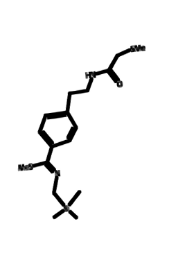 CSCC(=O)NCCc1ccc(C(=NC[Si](C)(C)C)SC)cc1